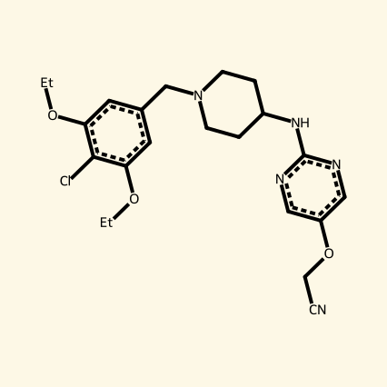 CCOc1cc(CN2CCC(Nc3ncc(OCC#N)cn3)CC2)cc(OCC)c1Cl